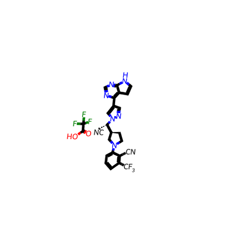 N#CC[C@@H]([C@H]1CCN(c2cccc(C(F)(F)F)c2C#N)C1)n1cc(-c2ncnc3[nH]ccc23)cn1.O=C(O)C(F)(F)F